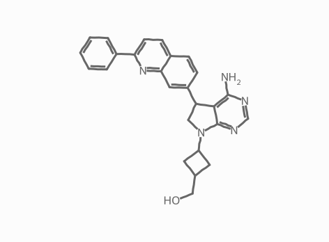 Nc1ncnc2c1C(c1ccc3ccc(-c4ccccc4)nc3c1)CN2C1CC(CO)C1